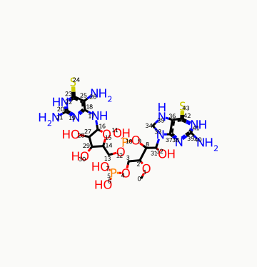 COC(COP(O)O)C(OP(O)OCC1OC(Nc2nc(N)[nH]c(=S)c2N)C(O)C1O)C(O)N1CNc2c1nc(N)[nH]c2=S